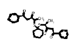 CC(SC1(SC(C)C(=O)CC(=O)c2ccccc2)CCCCC1)C(=O)CC(=O)c1ccccc1